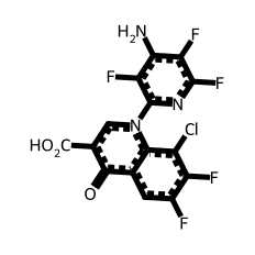 Nc1c(F)c(F)nc(-n2cc(C(=O)O)c(=O)c3cc(F)c(F)c(Cl)c32)c1F